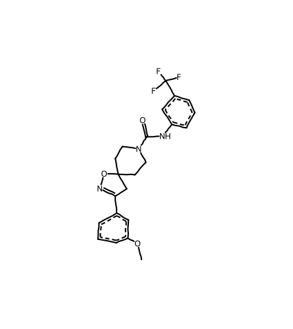 COc1cccc(C2=NOC3(CCN(C(=O)Nc4cccc(C(F)(F)F)c4)CC3)C2)c1